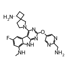 CNc1cc(F)cc2c1[nH]c1nc(Oc3cnc(CN)nc3)nc(N3CCC4(CC[C@H]4N)C3)c12